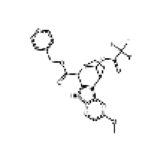 COc1ccc2[nH]c3c(c2c1)C1CCN(C3C(=O)OCc2ccccc2)C1OC(=O)C(F)(F)F